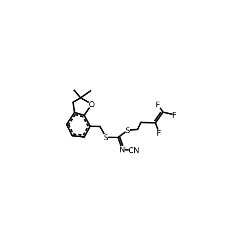 CC1(C)Cc2cccc(CSC(=NC#N)SCCC(F)=C(F)F)c2O1